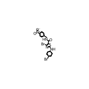 O=C(NCc1ccc([N+](=O)[O-])cc1)c1sc(Nc2ccc(Br)cc2)nc1Br